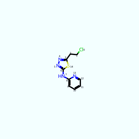 ClCCc1nnc(Nc2ccccn2)s1